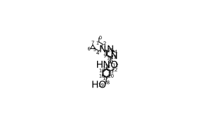 CCCN(CC1CC1)c1cc(C(=O)Nc2ccc(CO)cc2C)ncn1